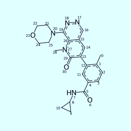 Cc1ccc(C(=O)NC2CC2)cc1-c1cc2cnnc(N3CCOCC3)c2n(C)c1=O